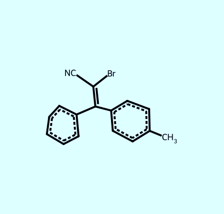 Cc1ccc(C(=C(Br)C#N)c2ccccc2)cc1